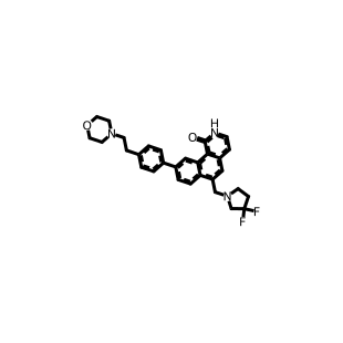 O=c1[nH]ccc2cc(CN3CCC(F)(F)C3)c3ccc(-c4ccc(CCN5CCOCC5)cc4)cc3c12